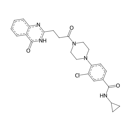 O=C(NC1CC1)c1ccc(N2CCN(C(=O)CCc3nc4ccccc4c(=O)[nH]3)CC2)c(Cl)c1